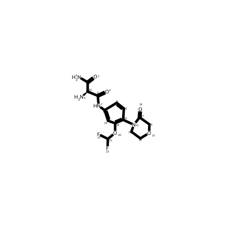 NC(=O)[C@H](N)C(=O)Nc1ccc(N2CCOCC2=O)c(OC(F)F)c1